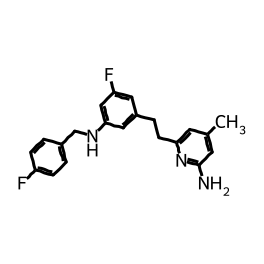 Cc1cc(N)nc(CCc2cc(F)cc(NCc3ccc(F)cc3)c2)c1